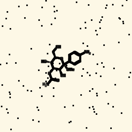 CO[C@@]1(c2ccc(N)cc2)O[C@H](CO)[C@@H](O)[C@H](OC(N)=O)[C@@H]1O